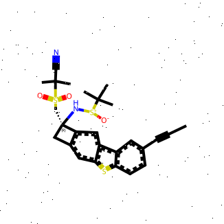 CC#Cc1ccc2sc3cc4c(cc3c2c1)[C@](CS(=O)(=O)C(C)(C)C#N)(N[S+]([O-])C(C)(C)C)C4